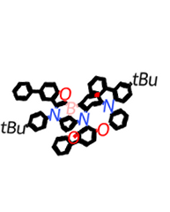 CC(C)(C)c1ccc(N2c3cccc4c3B(c3ccc5cc3N4c3c(ccc4c3oc3ccccc34)Oc3ccccc3N5c3ccc(C(C)(C)C)cc3-c3ccccc3)c3oc4ccc(-c5ccccc5)cc4c32)cc1